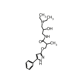 CCN(CC)CC(O)CNC(=O)C(C)COc1cc(-c2ccccc2)[nH]n1